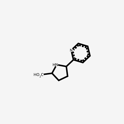 O=C(O)C1CCC(c2ccccn2)N1